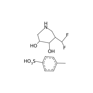 Cc1ccc(S(=O)(=O)O)cc1.OC1CNCC(C(F)F)C1O